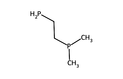 CP(C)CCP